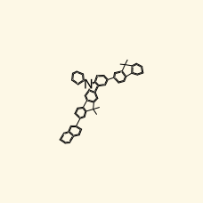 CC1(C)c2ccccc2-c2ccc(-c3ccc4c(c3)c3cc5c(cc3n4-c3ccccc3)-c3ccc(-c4ccc6ccccc6c4)cc3C5(C)C)cc21